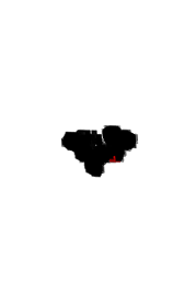 CC1(C)c2ccccc2-c2ccc(-n3c4ccccc4c4cc(-c5cccc(-n6c7ccccc7c7ccccc76)n5)ccc43)cc21